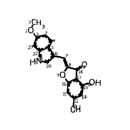 COc1ccc2c(C=C3Oc4cc(O)cc(O)c4C3=O)c[nH]c2c1